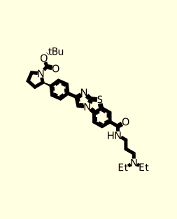 CCN(CC)CCCNC(=O)c1ccc2c(c1)sc1nc(-c3ccc([C@H]4CCCN4C(=O)OC(C)(C)C)cc3)cn12